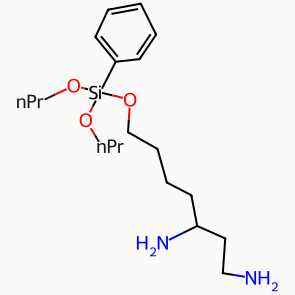 CCCO[Si](OCCC)(OCCCCC(N)CCN)c1ccccc1